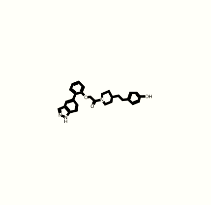 O=C(COc1ccccc1-c1ccc2[nH]ncc2c1)N1CCC(CCc2ccc(O)cc2)CC1